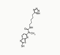 CN(C(=O)NCCCCCc1nnn[nH]1)c1ccc2nc(S)sc2n1